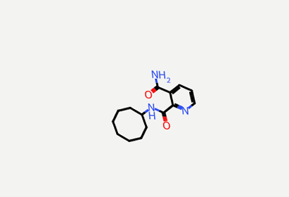 NC(=O)c1cccnc1C(=O)NC1CCCCCCC1